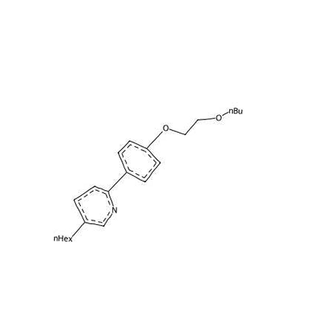 CCCCCCc1ccc(-c2ccc(OCCOCCCC)cc2)nc1